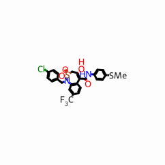 CSc1ccc(NC(=O)C2=C(O)CS(=O)(=O)N(Cc3ccc(Cl)cc3)c3cc(C(F)(F)F)ccc32)cc1